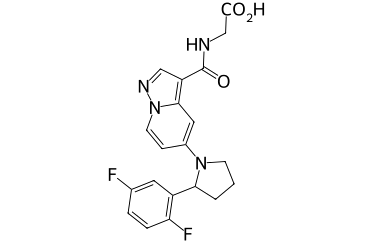 O=C(O)CNC(=O)c1cnn2ccc(N3CCCC3c3cc(F)ccc3F)cc12